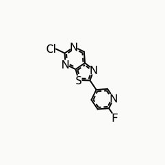 Fc1ccc(-c2nc3cnc(Cl)nc3s2)cn1